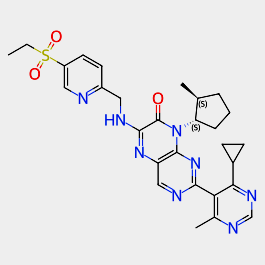 CCS(=O)(=O)c1ccc(CNc2nc3cnc(-c4c(C)ncnc4C4CC4)nc3n([C@H]3CCC[C@@H]3C)c2=O)nc1